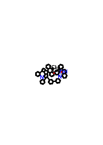 CC1(C)c2ccccc2C2(c3ccccc31)c1cccc3c1-c1c2cc(-c2cccc(-c4cccc(N(c5cccc6ccccc56)c5cccc6c5[nH]c5ccccc56)c4)c2)c2c4ccccc4n(c12)-c1ccccc1-3